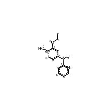 CCOc1cc(C(O)c2ccccn2)ccc1O